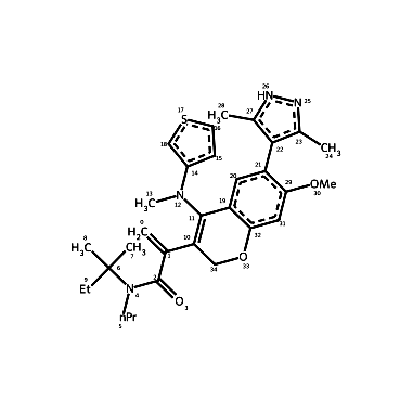 C=C(C(=O)N(CCC)C(C)(C)CC)C1=C(N(C)c2ccsc2)c2cc(-c3c(C)n[nH]c3C)c(OC)cc2OC1